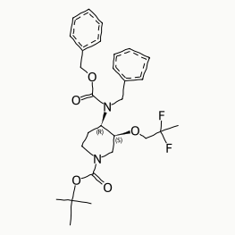 CC(F)(F)CO[C@H]1CN(C(=O)OC(C)(C)C)CC[C@H]1N(Cc1ccccc1)C(=O)OCc1ccccc1